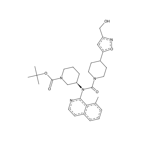 Cc1cccc2ccnc(N(C(=O)N3CCC(c4cc(CO)no4)CC3)[C@@H]3CCCN(C(=O)OC(C)(C)C)C3)c12